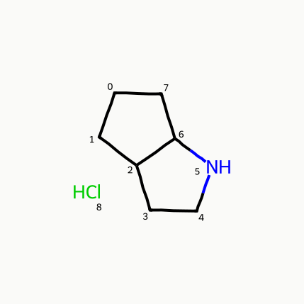 C1CC2CCNC2C1.Cl